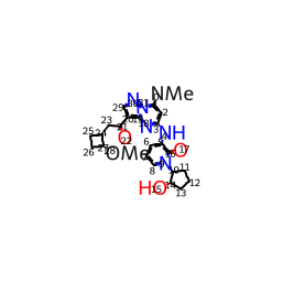 CNc1cc(Nc2cccn([C@H]3CCC[C@H]3O)c2=O)nc2c(C(=O)C[C@@H]3CC[C@H]3OC)cnn12